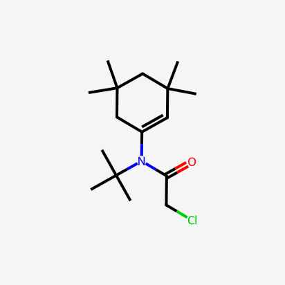 CC1(C)C=C(N(C(=O)CCl)C(C)(C)C)CC(C)(C)C1